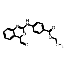 CCOC(=O)c1ccc(NC2=Nc3ccccc3C(C=O)O2)cc1